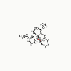 COC(=O)C1CC23CCCN4CCC5(c6cccc(OC)c6N(C=O)C15CC2)C43